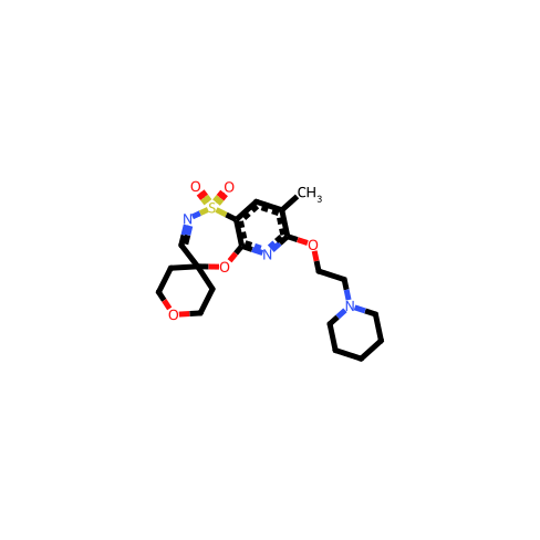 Cc1cc2c(nc1OCCN1CCCCC1)OC1(C=NS2(=O)=O)CCOCC1